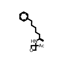 C=C(CCCCCc1ccccc1)NC1(C(C)=O)COC1